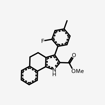 COC(=O)c1[nH]c2c(c1-c1ccc(C)cc1F)CCc1ccccc1-2